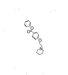 O=C(Oc1ccccc1)c1ccc(OCCN2CCCCC2)cc1